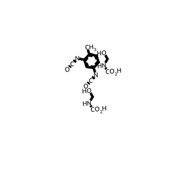 Cc1ccc(N=C=O)cc1N=C=O.O=C(O)NCO.O=C(O)NCO